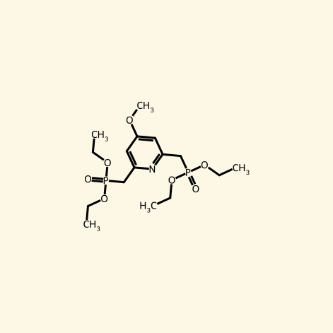 CCOP(=O)(Cc1cc(OC)cc(CP(=O)(OCC)OCC)n1)OCC